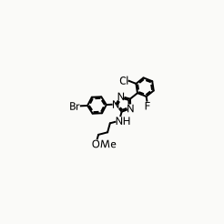 COCCCNc1nc(-c2c(F)cccc2Cl)nn1-c1ccc(Br)cc1